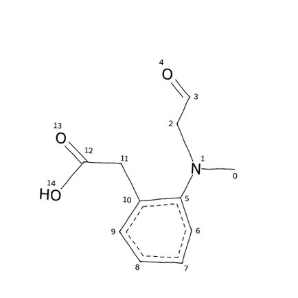 CN(CC=O)c1ccccc1CC(=O)O